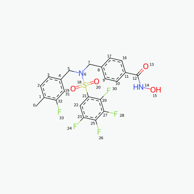 Cc1ccc(CN(Cc2ccc(C(=O)NO)cc2)S(=O)(=O)c2cc(F)c(F)c(F)c2F)cc1F